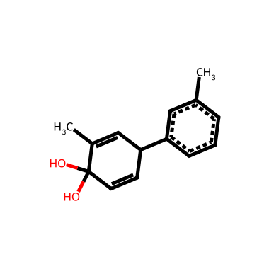 CC1=CC(c2cccc(C)c2)C=CC1(O)O